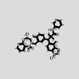 CC[C@@H]1CN(Cc2cc(C(c3ccc4c(nnn4CC)c3C)C(C)(C)C(=O)Nc3cccnc3)ccc2C)S(=O)(=O)c2cccnc2O1